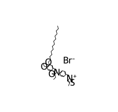 CCCCCCCCCCCCCCOc1cc(CN(C(=O)CC)c2ccc(C[n+]3csc(C)c3)cc2)ccc1OC.[Br-]